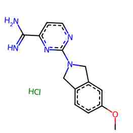 COc1ccc2c(c1)CN(c1nccc(C(=N)N)n1)C2.Cl